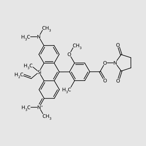 C=C[Si]1(C)C2=CC(=[N+](C)C)C=CC2=C(c2c(C)cc(C(=O)ON3C(=O)CCC3=O)cc2OC)c2ccc(N(C)C)cc21